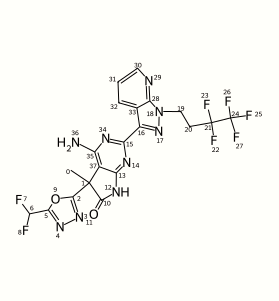 CC1(c2nnc(C(F)F)o2)C(=O)Nc2nc(-c3nn(CCC(F)(F)C(F)(F)F)c4ncccc34)nc(N)c21